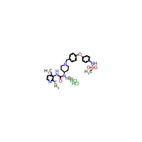 CCCCN(C(=O)Nc1c(C)ccnc1C)C1CCN(Cc2ccc(Oc3ccc(NS(C)(=O)=O)cc3)cc2)CC1.Cl.Cl